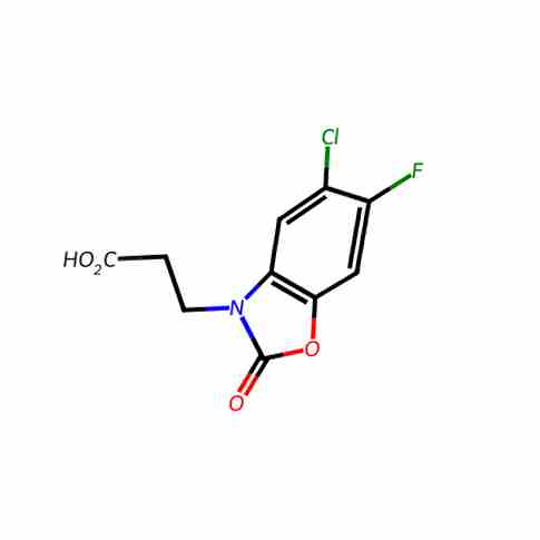 O=C(O)CCn1c(=O)oc2cc(F)c(Cl)cc21